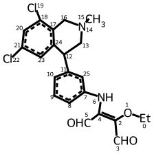 CCO/C(C=O)=C(/C=O)Nc1cccc(C2CN(C)Cc3c(Cl)cc(Cl)cc32)c1